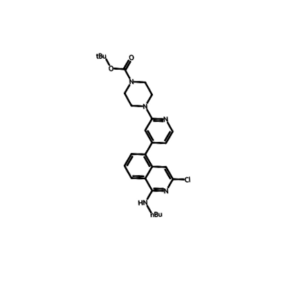 CCCCNc1nc(Cl)cc2c(-c3ccnc(N4CCN(C(=O)OC(C)(C)C)CC4)c3)cccc12